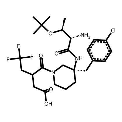 C[C@H](OC(C)(C)C)[C@H](N)C(=O)N[C@@]1(Cc2ccc(Cl)cc2)CCCN(C(=O)C(CC(=O)O)CC(F)(F)F)C1